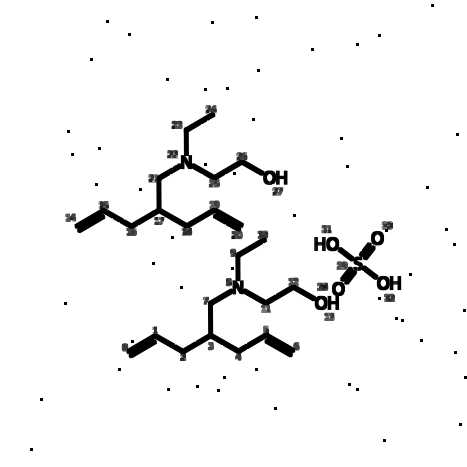 C=CCC(CC=C)CN(CC)CCO.C=CCC(CC=C)CN(CC)CCO.O=S(=O)(O)O